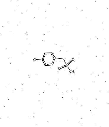 CS(=O)(=O)Cc1ccc(Cl)cc1